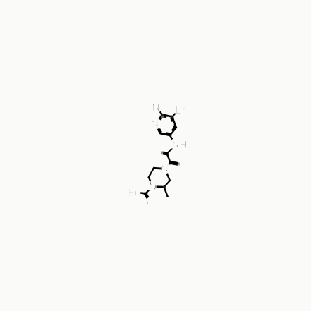 CCc1cc(NC(=O)C(=O)N2CCN(C(=O)C(C)(C)C)C(C)C2)cnc1N